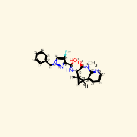 CN1C(=O)[C@@H](NC(O)c2nn(Cc3ccccc3)cc2F)[C@H]2C[C@H]2c2cccnc21